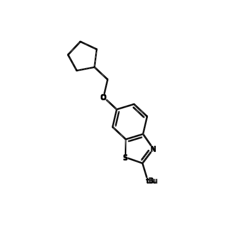 CC(C)(C)c1nc2ccc(OCC3CCCC3)cc2s1